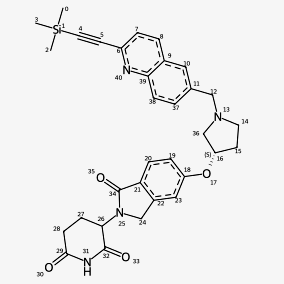 C[Si](C)(C)C#Cc1ccc2cc(CN3CC[C@H](Oc4ccc5c(c4)CN(C4CCC(=O)NC4=O)C5=O)C3)ccc2n1